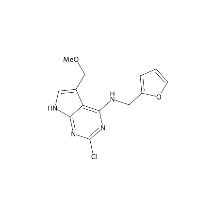 COCc1c[nH]c2nc(Cl)nc(NCc3ccco3)c12